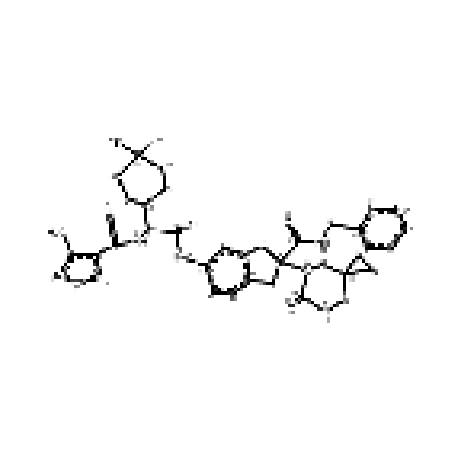 Cc1nonc1C(=O)N[C@H](C(=O)Nc1ccc2c(c1)CC(C(=O)NCc1cccnn1)(N1CC3(CC3)CNC1=O)C2)C1CCC(F)(F)CC1